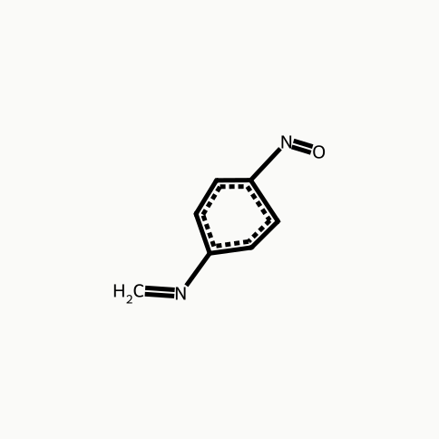 C=Nc1ccc(N=O)cc1